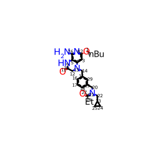 CCCCOc1cc2c(c(N)n1)NC(=O)CN2Cc1cccc(CN(CC2CC2)C(=O)CC)c1